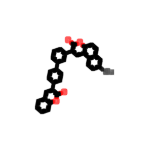 CC(C)(C)c1ccc2c(ccc3oc(=O)c(-c4cccc(-c5ccc(-c6cc7ccccc7oc6=O)cc5)c4)cc32)c1